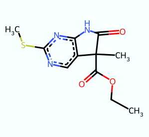 CCOC(=O)C1(C)C(=O)Nc2nc(SC)ncc21